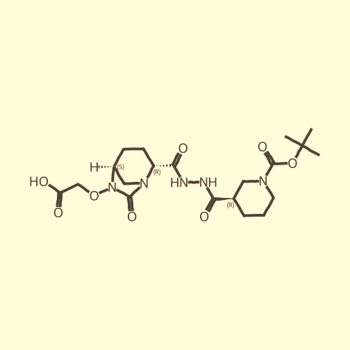 CC(C)(C)OC(=O)N1CCC[C@@H](C(=O)NNC(=O)[C@H]2CC[C@H]3CN2C(=O)N3OCC(=O)O)C1